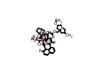 C=C1CN2C[C@@H](OC)CC2(COc2nc3c4c(nc(-c5cccc6ccc(F)c(C#C[Si](C(C)C)(C(C)C)C(C)C)c56)c(F)c4n2)OC(C)C2C4CCC(CN32)N4C(=O)O)C1